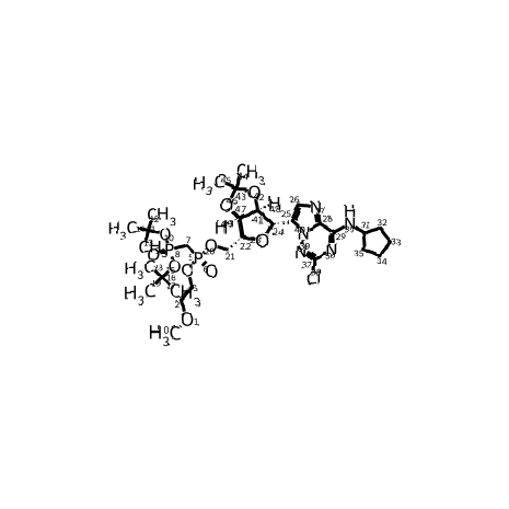 COCCOP(=O)(CP(=O)(OC(C)(C)C)OC(C)(C)C)OC[C@H]1O[C@@H](c2cnc3c(NC4CCCC4)nc(Cl)nn23)[C@@H]2OC(C)(C)O[C@@H]21